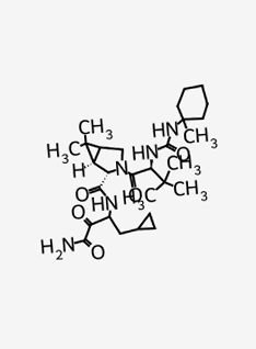 CC1(NC(=O)N[C@H](C(=O)N2CC3[C@@H]([C@H]2C(=O)NC(CC2CC2)C(=O)C(N)=O)C3(C)C)C(C)(C)C)CCCCC1